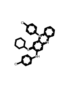 Clc1ccc(Nc2cc3nc4ccccc4n(-c4ccc(Cl)cc4)c-3cc2=NC2CCCCC2)cc1